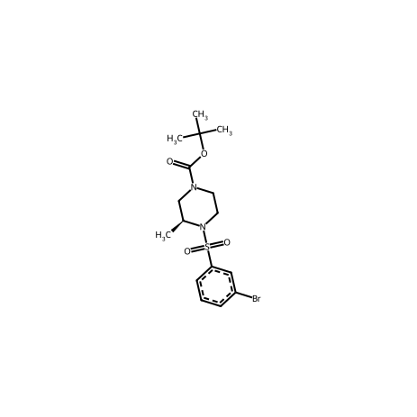 C[C@H]1CN(C(=O)OC(C)(C)C)CCN1S(=O)(=O)c1cccc(Br)c1